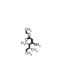 CCOC(=O)/C=C(/N)[C@H](C)[C@H](C)CC